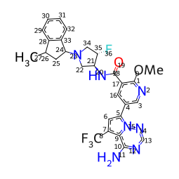 COc1ncc(-c2cc(C(F)(F)F)c3c(N)ncnn23)cc1C(=O)N[C@H]1CN(C2CC(C)c3ccccc32)C[C@@H]1F